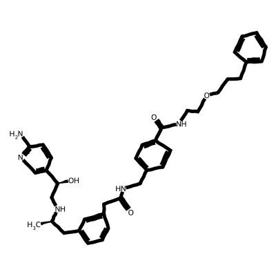 C[C@H](Cc1cccc(CC(=O)NCc2ccc(C(=O)NCCOCCCc3ccccc3)cc2)c1)NC[C@H](O)c1ccc(N)nc1